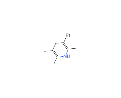 CCC1=C(C)NC(C)=C(C)C1